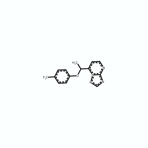 CC(Oc1ccc(C(F)(F)F)cc1)c1ccnc2ncnn12